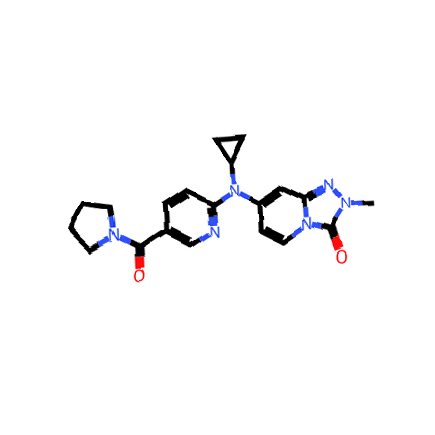 Cn1nc2cc(N(c3ccc(C(=O)N4CCCC4)cn3)C3CC3)ccn2c1=O